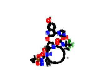 CC[C@@H]1C[C@H](C)CC/C=C\[C@@H]2C[C@@]2(C(=O)NS(=O)(=O)C2(C)CC2)NC(=O)[C@@H]2C[C@@H](Oc3cc(-n4ccnc4)c4ccc(OC)cc4n3)CN2C(=O)[C@H]1N(C(=O)O)C(C)(C)C(F)(F)F